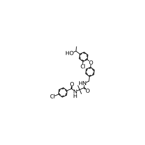 CC(O)c1ccc(Oc2ccc(CNC(=O)C(C)(C)NC(=O)c3ccc(Cl)cc3)cc2)c(Cl)c1